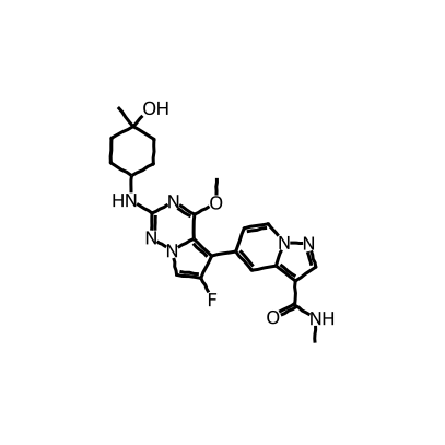 CNC(=O)c1cnn2ccc(-c3c(F)cn4nc(NC5CCC(C)(O)CC5)nc(OC)c34)cc12